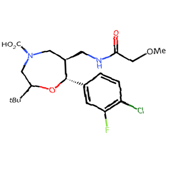 COCC(=O)NC[C@@H]1CN(C(=O)O)CC(C(C)(C)C)O[C@H]1c1ccc(Cl)c(F)c1